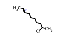 C/C=C/CCCCCC(C)Cl